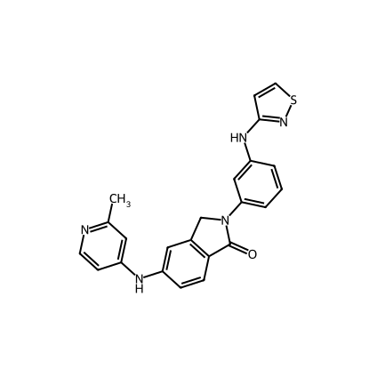 Cc1cc(Nc2ccc3c(c2)CN(c2cccc(Nc4ccsn4)c2)C3=O)ccn1